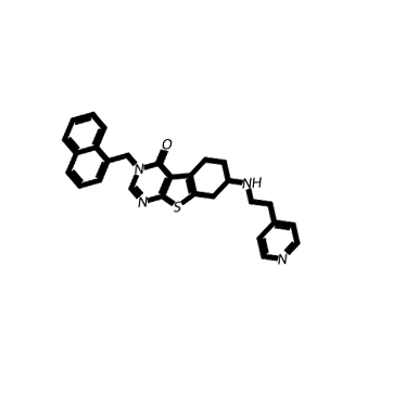 O=c1c2c3c(sc2ncn1Cc1cccc2ccccc12)CC(NCCc1ccncc1)CC3